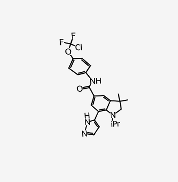 CC(C)N1CC(C)(C)c2cc(C(=O)Nc3ccc(OC(F)(F)Cl)cc3)cc(-c3ccn[nH]3)c21